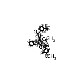 COc1ccc(S(=O)(=O)N(CC(C)C)C[C@@H](O)[C@H](Cc2ccccc2)NC(=O)[C@@H]2CN(c3cccc(C(F)(F)F)c3)C(=O)O2)cc1F